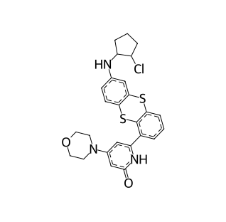 O=c1cc(N2CCOCC2)cc(-c2cccc3c2Sc2ccc(NC4CCCC4Cl)cc2S3)[nH]1